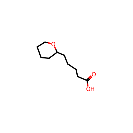 O=C(O)CCCCC1CCCCO1